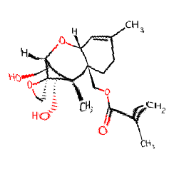 C=C(C)C(=O)OC[C@]12CCC(C)=C[C@H]1O[C@@H]1[C@H](O)[C@@H](O)[C@@]2(C)[C@]12CO2